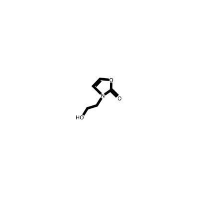 O=c1occn1CCO